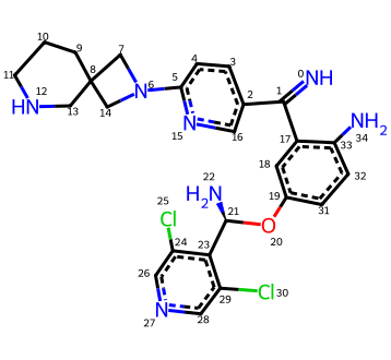 N=C(c1ccc(N2CC3(CCCNC3)C2)nc1)c1cc(O[C@H](N)c2c(Cl)cncc2Cl)ccc1N